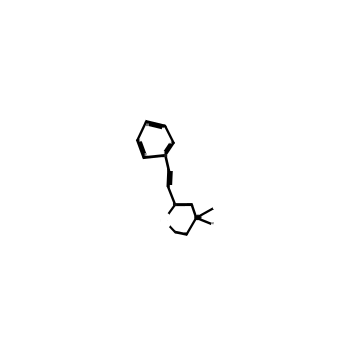 CC1(F)CCOC(C=Cc2ccccc2)C1